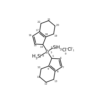 [Cl-].[Cl-].[SiH3][Zr]([SiH3])([CH]1C=CC2=C1CCCC2)[CH]1C=CC2=C1CCCC2